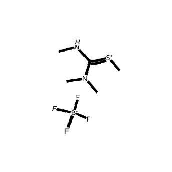 CN/C(=[S+]/C)N(C)C.F[B-](F)(F)F